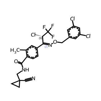 Cc1cc(/C(=N/OCc2cc(Cl)cc(Cl)c2)[C@H](Cl)C(F)(F)F)ccc1C(=O)NCC1(C#N)CC1